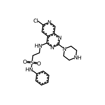 O=S(=O)(CCNc1nc(N2CCNCC2)nc2cnc(Cl)cc12)Nc1ccccc1